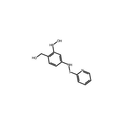 OBc1cc(NSc2ccccn2)ccc1CO